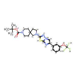 CC(C)(C)OC(=O)N1CCC2(CC1)CCN(c1nn3cc(-c4cccc(OC(F)(F)F)c4)nc3s1)C2